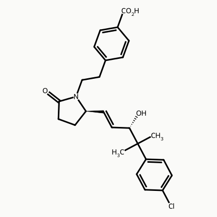 CC(C)(c1ccc(Cl)cc1)[C@@H](O)C=C[C@H]1CCC(=O)N1CCc1ccc(C(=O)O)cc1